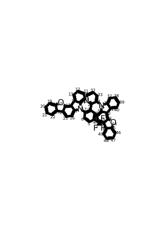 FC(F)(F)c1ccc(-n2c3ccccc3c3c4oc5ccccc5c4ccc32)c(-c2ncccc2-n2c3ccccc3c3c4oc5ccccc5c4ccc32)c1